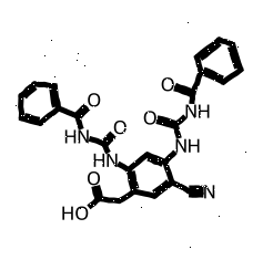 N#Cc1cc(CC(=O)O)c(NC(=O)NC(=O)c2ccccc2)cc1NC(=O)NC(=O)c1ccccc1